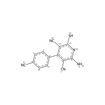 N#Cc1ccc(-c2c(C#N)c(N)nc(S)c2C#N)cc1